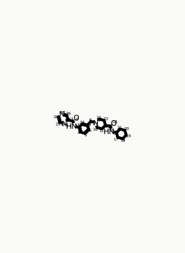 O=C(Nc1cccc(CN2CCC(C(=O)NC3CCCCC3)CC2)c1)c1cnccn1